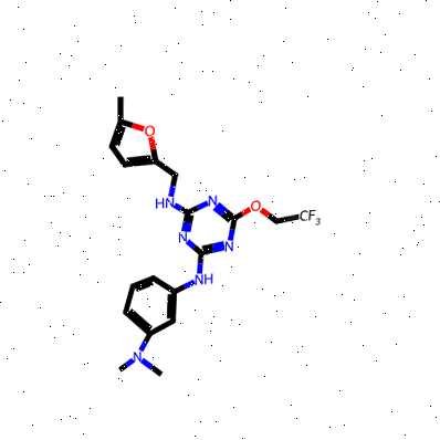 Cc1ccc(CNc2nc(Nc3cccc(N(C)C)c3)nc(OCC(F)(F)F)n2)o1